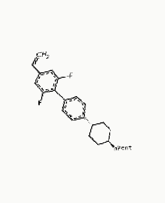 C=Cc1cc(F)c(-c2ccc([C@H]3CC[C@H](CCCCC)CC3)cc2)c(F)c1